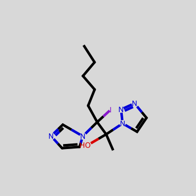 CCCCCC(I)(n1ccnc1)C(C)(O)n1ccnn1